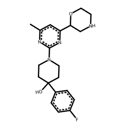 Cc1cc(C2CNCCO2)nc(N2CCC(O)(c3ccc(F)cc3)CC2)n1